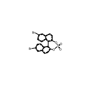 O=S1(=O)Oc2ccc3cc(Br)ccc3c2-c2c(ccc3cc(Br)ccc23)O1